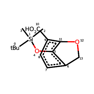 CC(C)(C)[Si](C)(C)Oc1c2ccc(C(=O)O)c1OC2